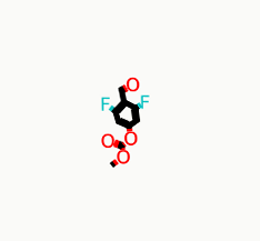 COC(=O)Oc1cc(F)c(C=O)c(F)c1